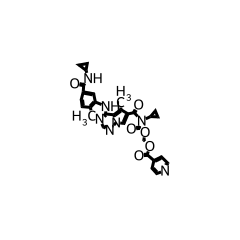 Cc1ccc(C(=O)NC2CC2)cc1Nc1ncnn2cc(C(=O)N(C(=O)OCOC(=O)c3ccncc3)C3CC3)c(C)c12